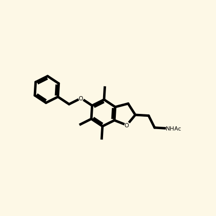 CC(=O)NCCC1Cc2c(C)c(OCc3ccccc3)c(C)c(C)c2O1